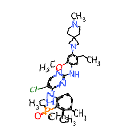 CCc1cc(Nc2ncc(Cl)c(Nc3ccc(C)c(C)c3P(C)(C)=O)n2)c(OC)cc1N1CC2(CCN(C)CC2)C1